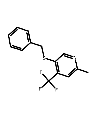 Cc1cc(C(F)(F)F)c(SCc2ccccc2)cn1